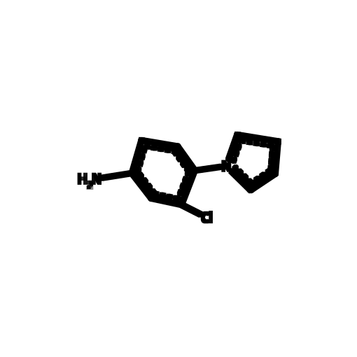 Nc1ccc(-n2cccc2)c(Cl)c1